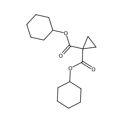 O=C(OC1CCCCC1)C1(C(=O)OC2CCCCC2)CC1